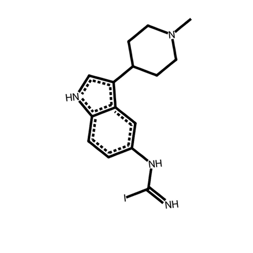 CN1CCC(c2c[nH]c3ccc(NC(=N)I)cc23)CC1